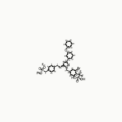 O=P(Cc1ccc(CN=c2sc(-c3cccc(Oc4ccccc4)c3)nn2Cc2ccc(C(F)(F)P(=O)(O)O)c(Br)c2)cc1)(OF)OF